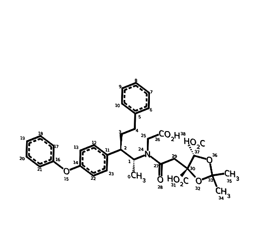 C[C@H]([C@H](CCc1ccccc1)c1ccc(Oc2ccccc2)cc1)N(CC(=O)O)C(=O)C[C@@]1(C(=O)O)OC(C)(C)O[C@H]1C(=O)O